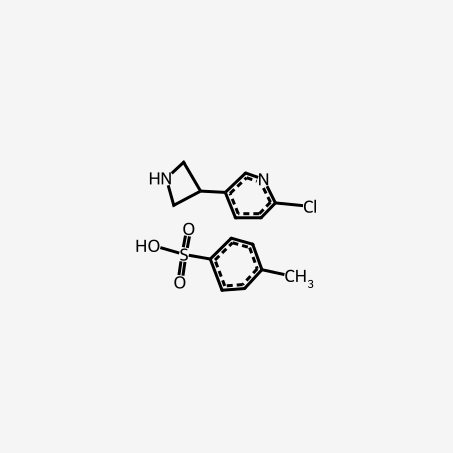 Cc1ccc(S(=O)(=O)O)cc1.Clc1ccc(C2CNC2)cn1